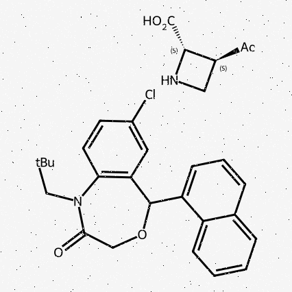 CC(=O)[C@H]1CN[C@@H]1C(=O)O.CC(C)(C)CN1C(=O)COC(c2cccc3ccccc23)c2cc(Cl)ccc21